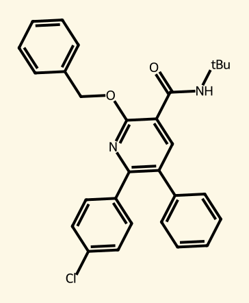 CC(C)(C)NC(=O)c1cc(-c2ccccc2)c(-c2ccc(Cl)cc2)nc1OCc1ccccc1